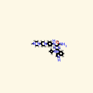 CN1CCN(C2CCN(c3ccc(Nc4nc(NC5CCC5)c(-c5cccc6[nH]ccc56)nc4C(N)=O)cc3)CC2)CC1